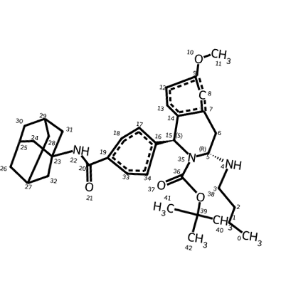 CCCCN[C@H]1Cc2cc(OC)ccc2[C@H](c2ccc(C(=O)NC34CC5CC(CC(C5)C3)C4)cc2)N1C(=O)OC(C)(C)C